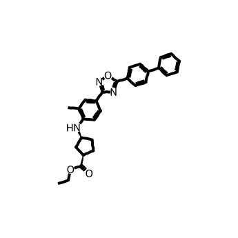 CCOC(=O)[C@@H]1CC[C@H](Nc2ccc(-c3noc(-c4ccc(-c5ccccc5)cc4)n3)cc2C)C1